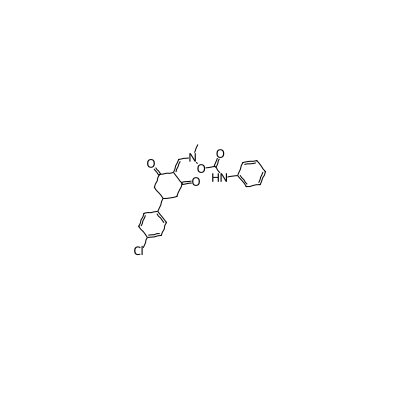 CN(C=C1C(=O)CC(c2ccc(Cl)cc2)CC1=O)OC(=O)Nc1ccccc1